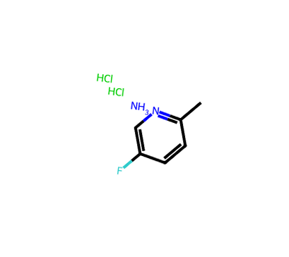 Cc1ccc(F)cn1.Cl.Cl.N